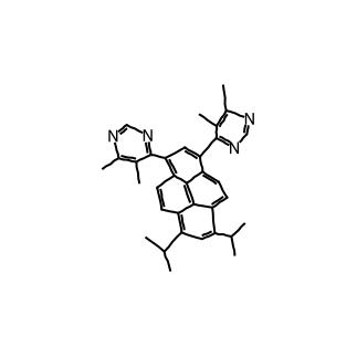 Cc1ncnc(-c2cc(-c3ncnc(C)c3C)c3ccc4c(C(C)C)cc(C(C)C)c5ccc2c3c54)c1C